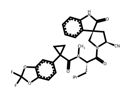 CC(C)C[C@@H](C(=O)N1C[C@]2(C[C@H]1C#N)C(=O)Nc1ccccc12)N(C)C(=O)C1(c2ccc3c(c2)OC(F)(F)O3)CC1